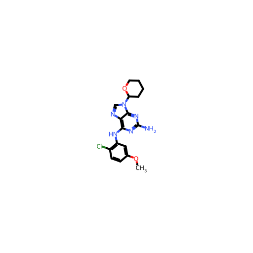 COc1ccc(Cl)c(Nc2nc(N)nc3c2ncn3C2CCCCO2)c1